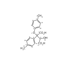 Cc1ccc(OC(C(=O)O)(c2ccc(C)cc2)C(O)C(=O)O)cc1